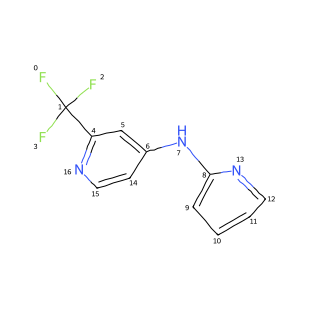 FC(F)(F)c1cc(Nc2ccccn2)ccn1